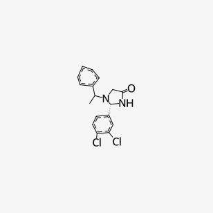 CC(c1ccccc1)N1CC(=O)N[C@@H]1c1ccc(Cl)c(Cl)c1